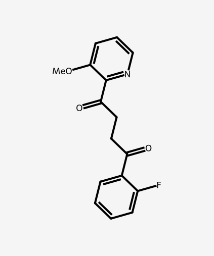 COc1cccnc1C(=O)CCC(=O)c1ccccc1F